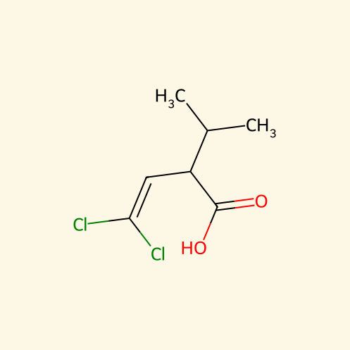 CC(C)C(C=C(Cl)Cl)C(=O)O